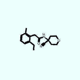 CCc1cccc(C)c1CC(=O)NC1(C#N)CCOCC1